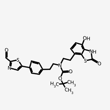 CC(C)(C)OC(=O)N(CCc1ccc(-c2cnc(C=O)s2)cc1)CCc1ccc(O)c2[nH]c(=O)sc12